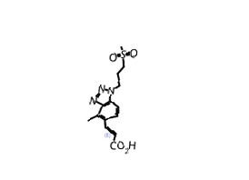 Cc1c(/C=C/C(=O)O)ccc2c1nnn2CCCS(C)(=O)=O